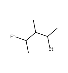 [CH2]CC(C)C(C)C(C)C[CH2]